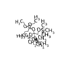 CCC[Si](OCC)(OCC)OC(CO[Si](C)(C)C)(O[Si](C)(C)C)O[Si](C)(C)C